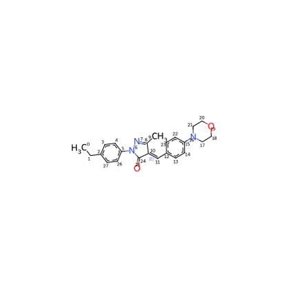 CCc1ccc(N2N=C(C)/C(=C\c3ccc(N4CCOCC4)cc3)C2=O)cc1